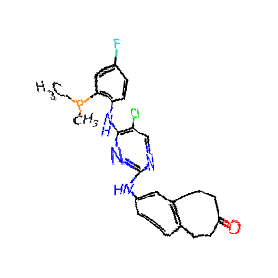 CP(C)c1cc(F)ccc1Nc1nc(Nc2ccc3c(c2)CCC(=O)CC3)ncc1Cl